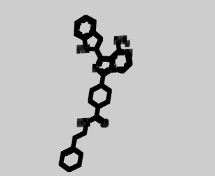 Nc1nccn2c(C3CCC(C(=O)NCCC4=CCCCC4)CC3)nc(C3Cc4ccccc4N3)c12